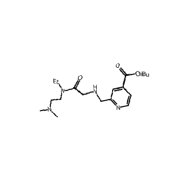 CCN(CCN(C)C)C(=O)CNCc1cc(C(=O)OCC(C)C)ccn1